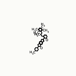 Cc1cc(C)c(C)c(CC(C)CC2=C(C3=Cc4cc5c(cc4C3)CC(C3CCC(C)CC3)C5=O)C(=O)CC=C2)c1C